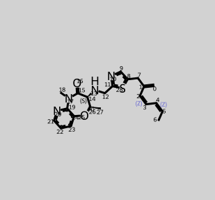 C=C(/C=C\C=C/C)Cc1cnc(CN[C@@H]2C(=O)N(C)c3ncccc3O[C@@H]2C)s1